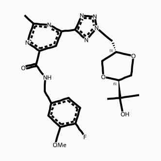 COc1cc(CNC(=O)c2cc(-c3nnn(C[C@H]4CO[C@H](C(C)(C)O)CO4)n3)nc(C)n2)ccc1F